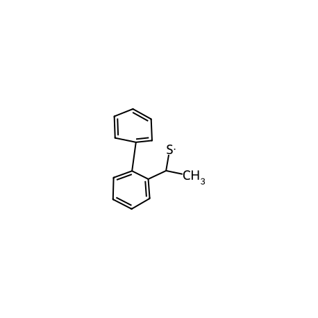 CC([S])c1ccccc1-c1ccccc1